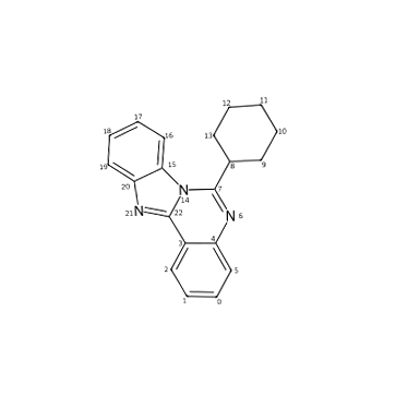 c1ccc2c(c1)nc(C1CCCCC1)n1c3ccccc3nc21